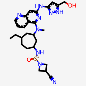 CCC1CCC(N[S+]([O-])N2CC(C#N)C2)CC(N(C)c2nc(Nc3cc(CO)[nH]n3)cc3ncccc23)C1